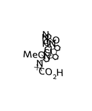 COc1nc(-c2cccc(-c3cccc(NC(=O)c4ccnn(C)c4=O)c3Cl)c2Cl)ccc1CN1CC(C(=O)O)C(C)(C)C1